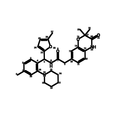 Cc1ccc(C(NC(=O)Cc2ccc3c(c2)OC(C)(C)C(=O)N3)c2ccc(C)o2)c(N2CCCCC2)c1